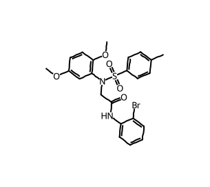 COc1ccc(OC)c(N(CC(=O)Nc2ccccc2Br)S(=O)(=O)c2ccc(C)cc2)c1